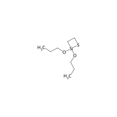 CCCO[Si]1(OCCC)CCS1